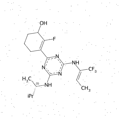 CC=C(Nc1nc(N[C@@H](C)C(C)C)nc(C2=C(F)C(O)CCC2)n1)C(F)(F)F